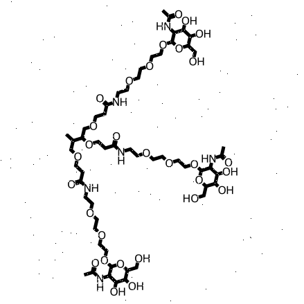 CC(=O)NC1C(OCCOCCOCCNC(=O)CCOCC(C)C(COCCC(=O)NCCOCCOCCOC2OC(CO)C(O)C(O)C2NC(C)=O)OCCC(=O)NCCOCCOCCOC2OC(CO)C(O)C(O)C2NC(C)=O)OC(CO)C(O)C1O